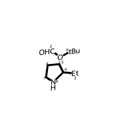 CC(C)(C)OC=O.CCC1CCCN1